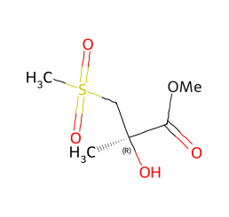 COC(=O)[C@@](C)(O)CS(C)(=O)=O